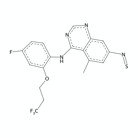 Cc1cc(N=S)cc2ncnc(Nc3ccc(F)cc3OCCC(F)(F)F)c12